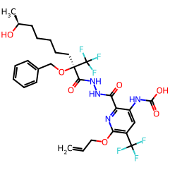 C=CCOc1nc(C(=O)NNC(=O)[C@@](CCCCC[C@H](C)O)(OCc2ccccc2)C(F)(F)F)c(NC(=O)O)cc1C(F)(F)F